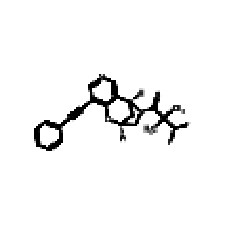 CC(C)(C(=O)N1C[C@@H]2C[C@H]1c1cncc(C#Cc3ccccc3)c1O2)C(F)F